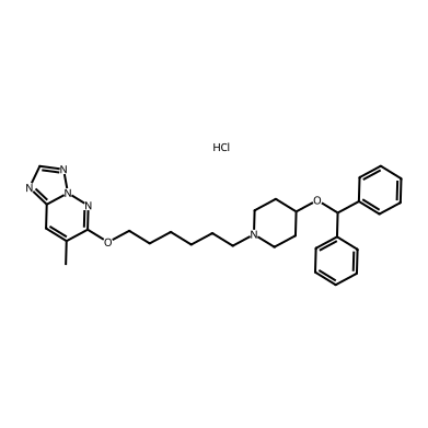 Cc1cc2ncnn2nc1OCCCCCCN1CCC(OC(c2ccccc2)c2ccccc2)CC1.Cl